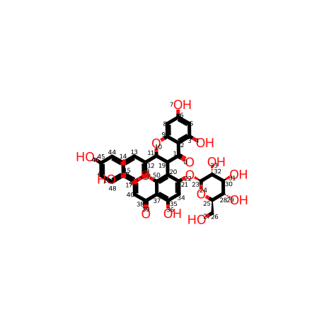 O=C1c2c(O)cc(O)cc2OC(c2ccc(O)cc2)C1c1c(O[C@@H]2O[C@H](CO)[C@@H](O)[C@H](O)[C@H]2O)cc(O)c2c(=O)cc(-c3ccc(O)cc3)oc12